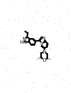 CCc1n[nH]c2ccc(-c3cnc4ccc(N5C[C@@H](C)O[C@@H](C)C5)cn34)cc12